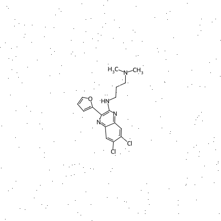 CN(C)CCCNc1nc2cc(Cl)c(Cl)cc2nc1-c1ccco1